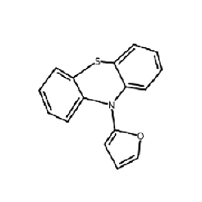 c1coc(N2c3ccccc3Sc3ccccc32)c1